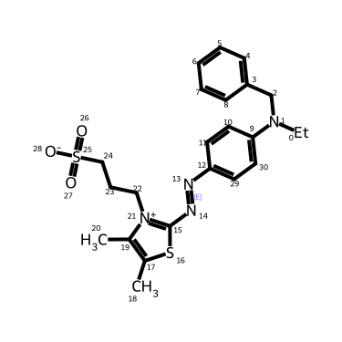 CCN(Cc1ccccc1)c1ccc(/N=N/c2sc(C)c(C)[n+]2CCCS(=O)(=O)[O-])cc1